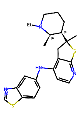 CCN1CCC[C@@H](C2(C)Cc3c(Nc4ccc5scnc5c4)ccnc3S2)[C@H]1C